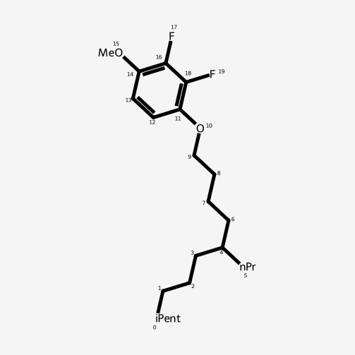 CCCC(C)CCCC(CCC)CCCCOc1ccc(OC)c(F)c1F